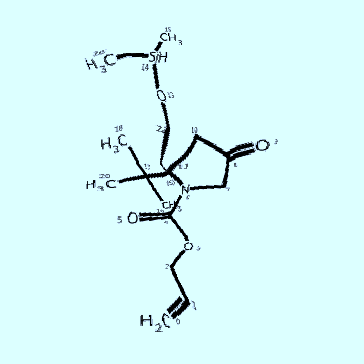 C=CCOC(=O)N1CC(=O)C[C@@]1(CO[SiH](C)C)C(C)(C)C